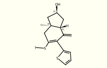 C=C1C(c2cccs2)=C(SI)C[C@@]2(C)C[C@@H](O)C[C@H]12